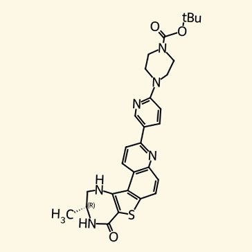 C[C@@H]1CNc2c(sc3ccc4nc(-c5ccc(N6CCN(C(=O)OC(C)(C)C)CC6)nc5)ccc4c23)C(=O)N1